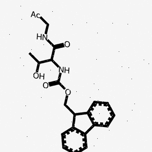 CC(=O)CNC(=O)C(NC(=O)OCC1c2ccccc2-c2ccccc21)C(C)O